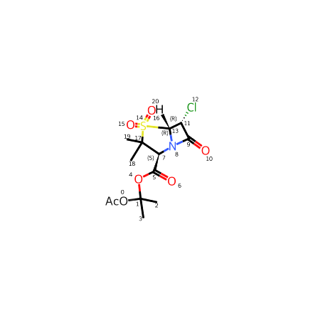 CC(=O)OC(C)(C)OC(=O)[C@@H]1N2C(=O)[C@@H](Cl)[C@H]2S(=O)(=O)C1(C)C